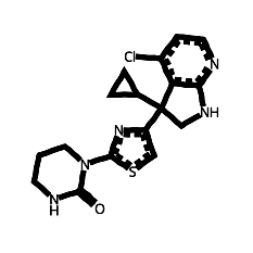 O=C1NCCCN1c1nc(C2(C3CC3)CNc3nccc(Cl)c32)cs1